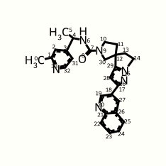 Cc1cc(C(C)NC(=O)N2CCC3(CCn4nc(-c5cnc6ccccc6c5)cc43)C2)ccn1